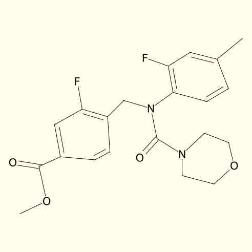 COC(=O)c1ccc(CN(C(=O)N2CCOCC2)c2ccc(C)cc2F)c(F)c1